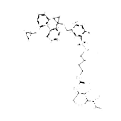 CN(CCCCNC(=O)NC(CO)C(O)C(O)C(O)CO)S(=O)(=O)c1cc(CNC2(c3cnccc3-c3ccccc3OC3CC3)CC2)c(Cl)cc1Cl